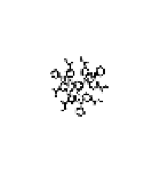 CCC(C)c1ccc2c(c1)N(c1ccccc1)c1cc(C(C)CC)ccc1N2c1cc(N2c3ccc(C(C)CC)cc3N(c3ccccc3)c3cc(C(C)CC)ccc32)c(C#N)c(N2c3ccc(C(C)CC)cc3N(c3ccccc3)c3cc(C(C)CC)ccc32)c1